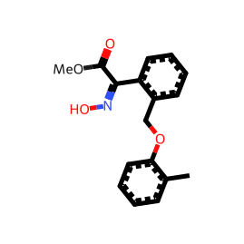 COC(=O)/C(=N\O)c1ccccc1COc1ccccc1C